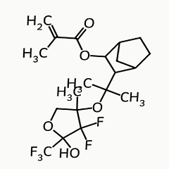 C=C(C)C(=O)OC1C2CCC(C2)C1C(C)(C)OC1(C)COC(O)(C(F)(F)F)C1(F)F